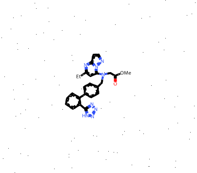 CCc1cc(N(CC(=O)OC)Cc2ccc(-c3ccccc3-c3nnn[nH]3)cc2)n2nccc2n1